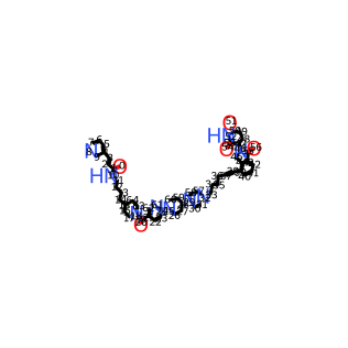 O=C(/C=C/c1cccnc1)NCCCCC1CCN(C(=O)c2ccc(N3CCC(N4CCN(CCCCC#Cc5cccc6c5CN(C5CCC(=O)NC5=O)C6=O)CC4)CC3)nc2)CC1